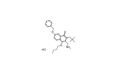 CCCCOc1c(CN)n(CC(C)(C)C)c(=O)c2cc(OCc3ccccc3)ccc12.Cl